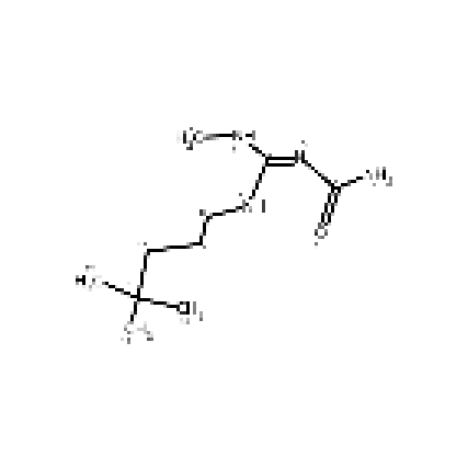 CN/C(=N/C(N)=O)NCCCC(C)(C)C